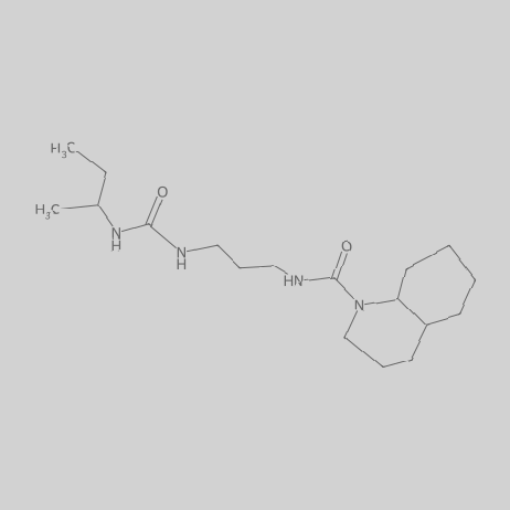 CCC(C)NC(=O)NCCCNC(=O)N1CCCC2CCCCC21